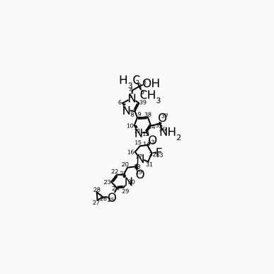 CC(C)(O)Cn1cnc(-c2cnc(O[C@@H]3CCN(C(=O)Cc4ccc(OC5CC5)cn4)C[C@@H]3F)c(C(N)=O)c2)c1